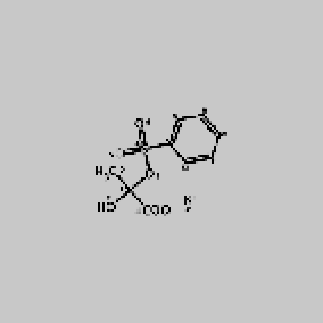 CC(O)(OS(=O)(=O)c1ccccc1)C(=O)[O-].[K+]